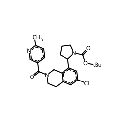 Cc1ccc(C(=O)N2CCc3cc(Cl)cc(C4CCCN4C(=O)OC(C)(C)C)c3C2)cn1